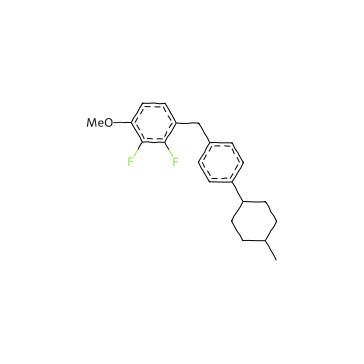 COc1ccc(Cc2ccc(C3CCC(C)CC3)cc2)c(F)c1F